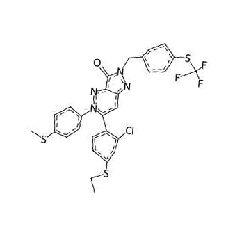 CCSc1ccc(-c2cc3nn(Cc4ccc(SC(F)(F)F)cc4)c(=O)c-3nn2-c2ccc(SC)cc2)c(Cl)c1